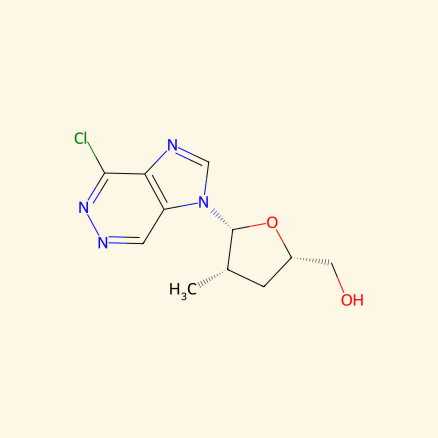 C[C@H]1C[C@@H](CO)O[C@H]1n1cnc2c(Cl)nncc21